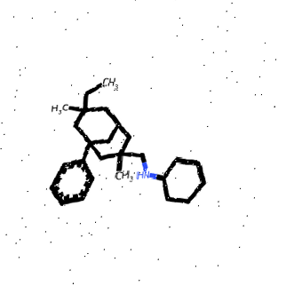 CCC1(C)CC2CC(C)(CNC3CCCCC3)CC(c3ccccc3)(C2)C1